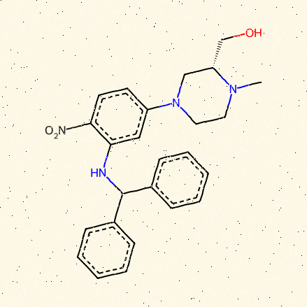 CN1CCN(c2ccc([N+](=O)[O-])c(NC(c3ccccc3)c3ccccc3)c2)C[C@@H]1CO